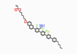 C=CC(=O)OCCCCCCOc1ccc2cc(-c3ccc(-c4ccc(-c5ccc(-c6ccc(CCCCC)cc6)cc5F)c(F)c4F)c(C=N)c3F)ccc2c1